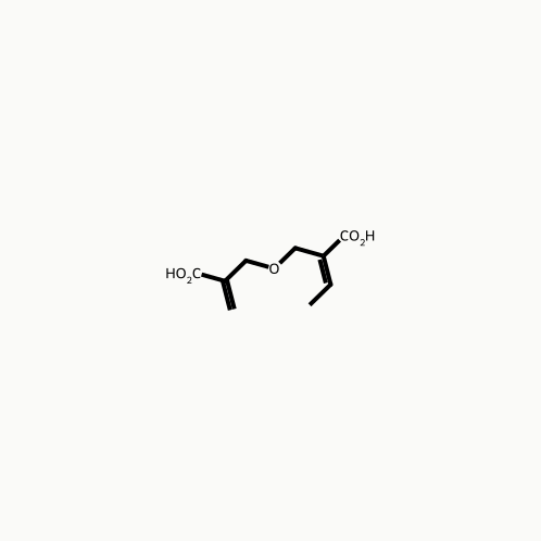 C=C(COCC(=CC)C(=O)O)C(=O)O